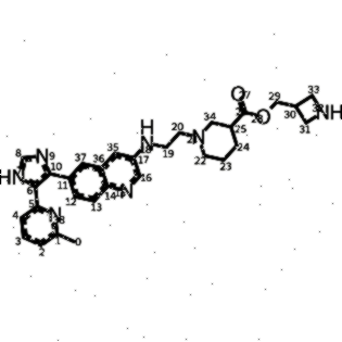 Cc1cccc(-c2[nH]cnc2-c2ccc3ncc(NCCN4CCCC(C(=O)OCC5CNC5)C4)cc3c2)n1